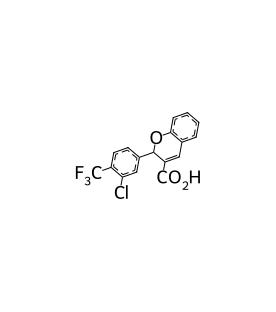 O=C(O)C1=Cc2ccccc2OC1c1ccc(C(F)(F)F)c(Cl)c1